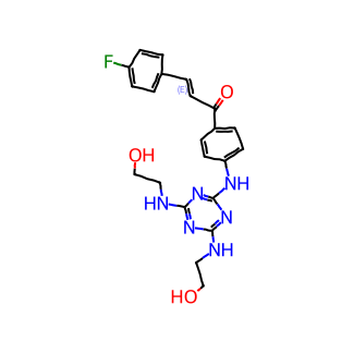 O=C(/C=C/c1ccc(F)cc1)c1ccc(Nc2nc(NCCO)nc(NCCO)n2)cc1